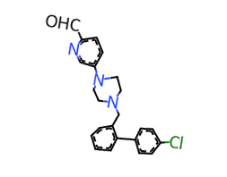 O=Cc1ccc(N2CCN(Cc3ccccc3-c3ccc(Cl)cc3)CC2)cn1